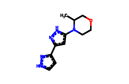 CC1COCCN1c1cc(-c2cc[nH]n2)n[nH]1